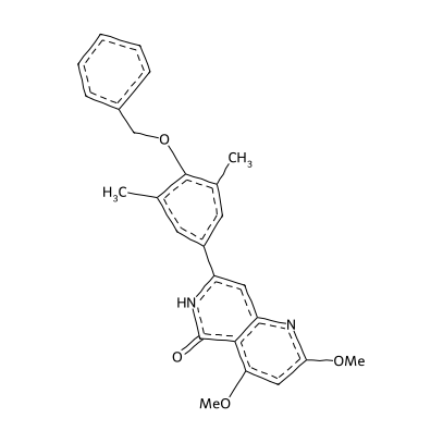 COc1cc(OC)c2c(=O)[nH]c(-c3cc(C)c(OCc4ccccc4)c(C)c3)cc2n1